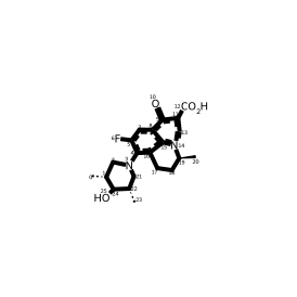 C[C@@H]1CN(c2c(F)cc3c(=O)c(C(=O)O)cn4c3c2CC[C@@H]4C)C[C@H](C)C1O